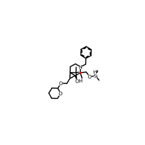 C[SiH](C)OCC1(C)N(Cc2ccccc2)CCC2(C(C)(C)C)C(COC3CCCCO3)C12O